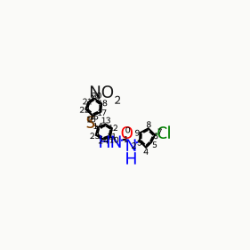 O=C(Nc1ccc(Cl)cc1)Nc1ccc(Sc2ccc([N+](=O)[O-])cc2)cc1